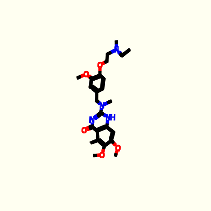 CCN(C)CCOc1ccc(CN(C)c2nc(=O)c3c(C)c(OC)c(OC)cc3[nH]2)cc1OC